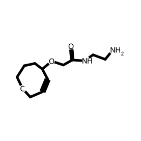 NCCNC(=O)COC1C#CCCCCC1